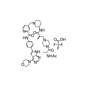 C=C(CN1CCN(C(=O)[C@@H](C)NC(C)=O)CC1)C(=O)N[C@@H]1CCCN(Cc2ccnc(C(=O)Nc3ccc(-c4cc5c(N6CCOCC6)ncnc5[nH]4)cc3)c2)C1.O=C(O)C(F)(F)F